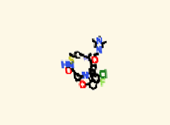 C/C1=C\CCC(C)SNC(=O)c2ccc3c(c2)N(C[C@@H]2CCC2C1OCCN1CC(C)N(C)C(C)C1)CC1(CCCc2c1ccc(Cl)c2F)CO3